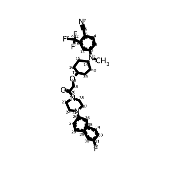 CN(c1ccc(C#N)c(C(F)(F)F)c1)C1CCC(OCC(=O)N2CCN(c3ccc4cc(F)ccc4c3)CC2)CC1